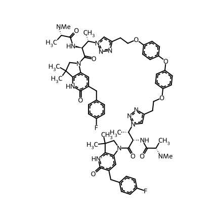 CN[C@@H](C)C(=O)N[C@H](C(=O)N1CC(C)(C)c2[nH]c(=O)c(Cc3ccc(F)cc3)cc21)[C@H](C)n1cc(CCOc2ccc(Oc3ccc(OCCc4cn([C@@H](C)[C@H](NC(=O)[C@H](C)NC)C(=O)N5CC(C)(C)c6[nH]c(=O)c(Cc7ccc(F)cc7)cc65)nn4)cc3)cc2)nn1